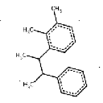 Cc1cccc(C(C)C(C)c2ccccc2)c1C